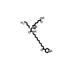 NCCCC[C@@H](C(=O)NCCCCCCCCCCC(=O)C1CCNCC1)n1cc(CCCC(=O)O)nn1